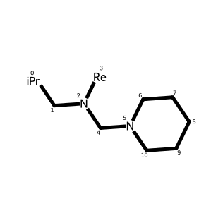 CC(C)C[N]([Re])CN1CCCCC1